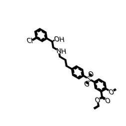 CCOC(=O)c1cc(S(=O)(=O)c2ccc(CCCNC[C@H](O)c3cccc(Cl)c3)cc2)ccc1OC